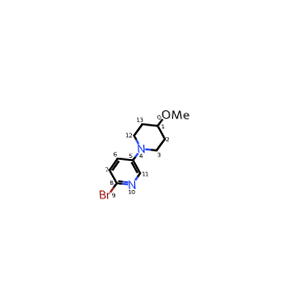 COC1CCN(c2ccc(Br)nc2)CC1